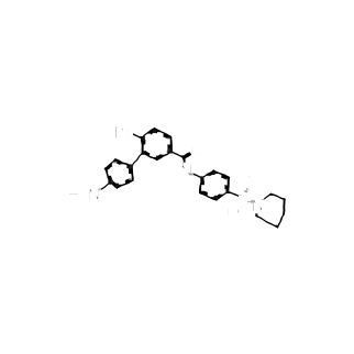 Nc1ccc(-c2cc(C(=O)Nc3ccc(S(=O)(=O)N4CCCCC4)cc3)ccc2Br)cc1